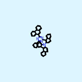 c1ccc(-c2nc(-c3c(-n4c5ccccc5c5c6ccccc6ccc54)ccc4ccccc34)nc(-c3cc4ccccc4c4ccccc34)n2)cc1